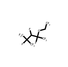 FC(C(F)(OCC(F)(F)F)C(F)(F)F)C(F)(C(F)(F)F)C(F)(F)F